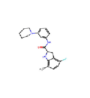 Cc1ccc(F)c2c1NC(C(=O)Nc1cccc(N3CCCCC3)c1)C2